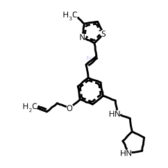 C=CCOc1cc(/C=C/c2nc(C)cs2)cc(CNCC2CCNC2)c1